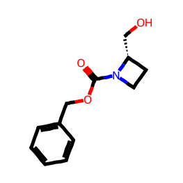 O=C(OCc1ccccc1)N1CC[C@H]1CO